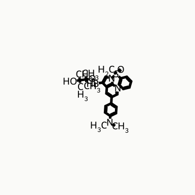 C=S(=O)(c1ccccc1)n1cc(BOC(C)(C)C(C)(C)O)c2cc(-c3ccc(N(C)C)cc3)cnc21